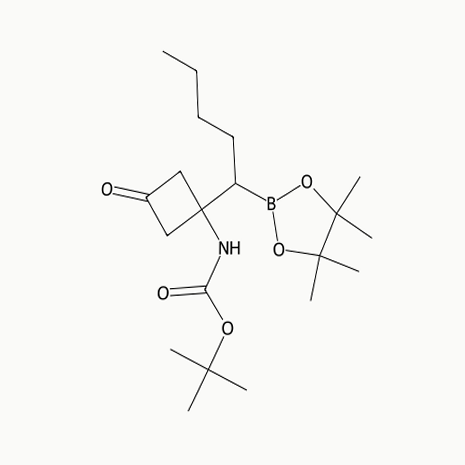 CCCCC(B1OC(C)(C)C(C)(C)O1)C1(NC(=O)OC(C)(C)C)CC(=O)C1